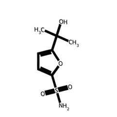 CC(C)(O)c1ccc(S(N)(=O)=O)o1